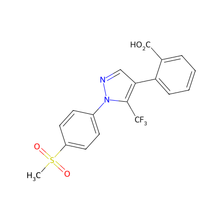 CS(=O)(=O)c1ccc(-n2ncc(-c3ccccc3C(=O)O)c2C(F)(F)F)cc1